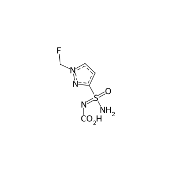 NS(=O)(=NC(=O)O)c1ccn(CF)n1